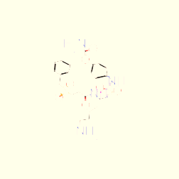 NCCCC[C@@H](CS(=O)(=O)Nc1ccc(OC(N)=O)cc1)NC(=O)[CH]CS(=O)(=O)Cc1ccccc1